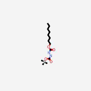 CCCCCCCCOC(=O)N=NC(=O)O[Si](C)(C)C